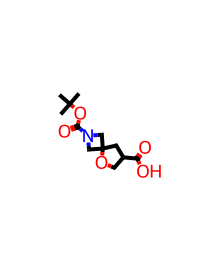 CC(C)(C)OC(=O)N1CC2(CC(C(=O)O)CO2)C1